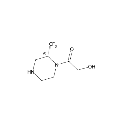 O=C(CO)N1CCNC[C@@H]1C(F)(F)F